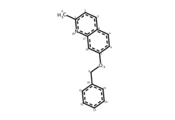 Cc1ccc2ccc(OCc3ccccc3)cc2n1